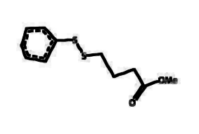 COC(=O)CCCSSc1ccccc1